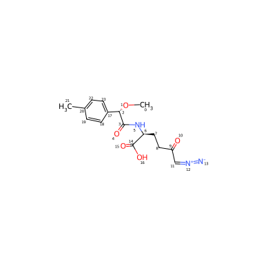 CO[C@H](C(=O)N[C@@H](CCC(=O)C=[N+]=[N-])C(=O)O)c1ccc(C)cc1